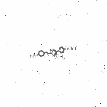 CCCCCCCCc1ccc(-c2cnc(CCC3CCC(CCC)CC3)nc2C)cc1